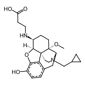 CO[C@@]12CC[C@H](NCCC(=O)O)[C@@H]3Oc4c(O)ccc5c4[C@@]31CCN(CC1CC1)C2C5